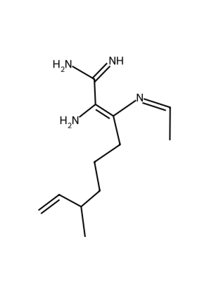 C=CC(C)CCCC(/N=C\C)=C(\N)C(=N)N